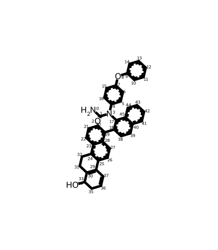 NC(=O)N(c1ccc(Oc2ccccc2)cc1)c1c(-c2cccc3c4c(ccc23)C2=C(CC4)C(O)CC=C2)ccc2ccccc12